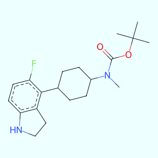 CN(C(=O)OC(C)(C)C)C1CCC(c2c(F)ccc3c2CCN3)CC1